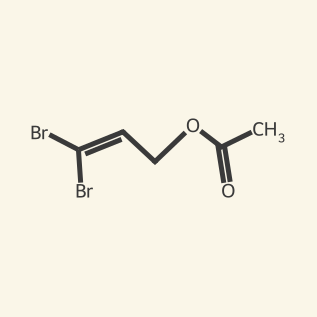 CC(=O)OCC=C(Br)Br